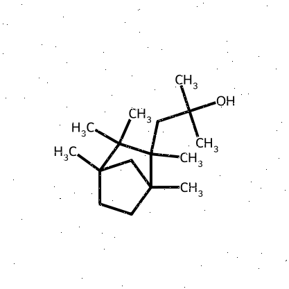 CC(C)(O)CC1(C)C2(C)CCC(C)(C2)C1(C)C